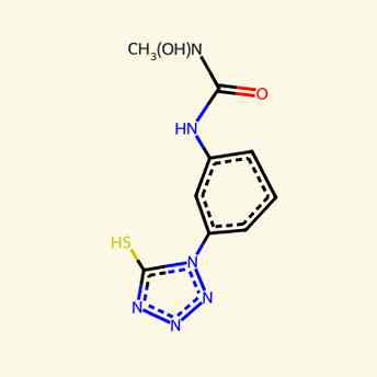 CN(O)C(=O)Nc1cccc(-n2nnnc2S)c1